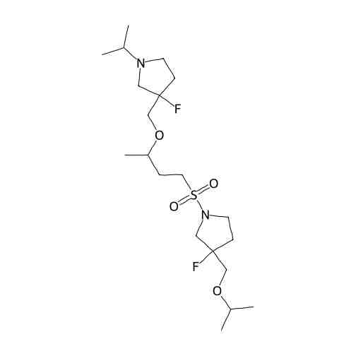 CC(C)OCC1(F)CCN(S(=O)(=O)CCC(C)OCC2(F)CCN(C(C)C)C2)C1